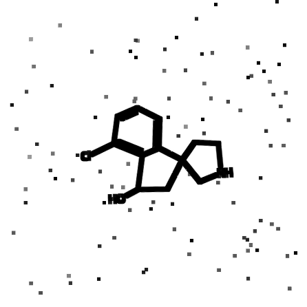 OC1CC2(CCNC2)c2cccc(Cl)c21